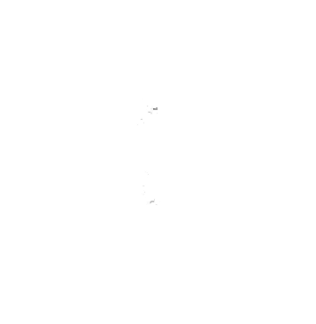 CC(=O)SCCCCCO[SiH](C)C